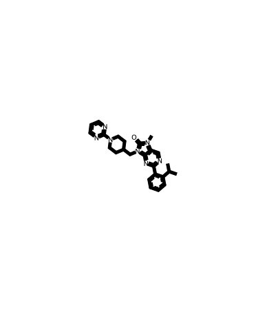 CC(C)c1ccccc1-c1ncc2c(n1)n(CC1CCN(c3ncccn3)CC1)c(=O)n2C